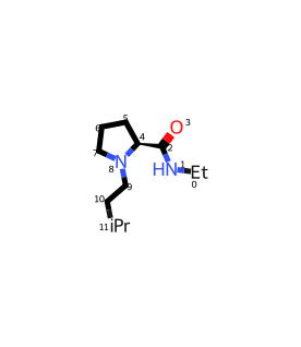 CCNC(=O)[C@@H]1CCCN1CCC(C)C